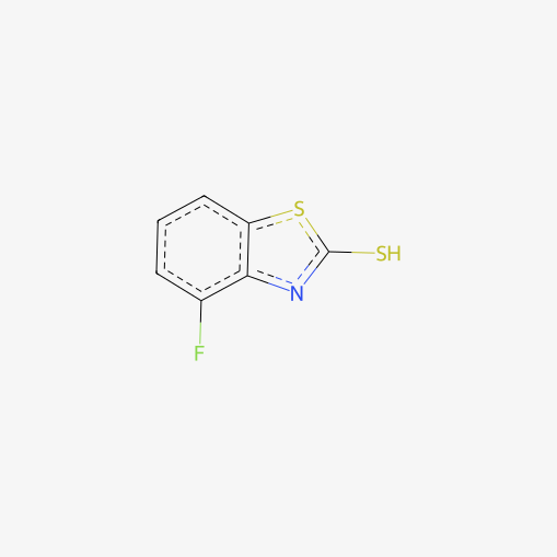 Fc1cccc2sc(S)nc12